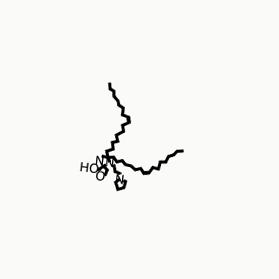 CCCCCCCC/C=C\CCCCCCCC1(CCCCCCC/C=C\CCCCCCCC)C=NC(CC)(C(=O)O)N1CCCN1CCCC1